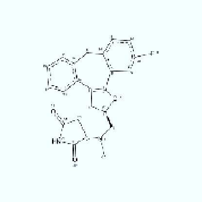 CN(C[C@H]1CC2=C(O1)c1cc(F)ccc1Cc1ccccc12)C1CC(=O)NC1=O